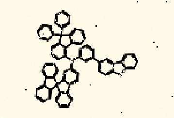 c1ccc(C2(c3ccccc3)c3ccccc3-c3c(N(c4cccc(-c5ccc6sc7ccccc7c6c5)c4)c4ccc5c(c4)C4(c6ccccc6-c6ccccc64)c4ccccc4-5)cccc32)cc1